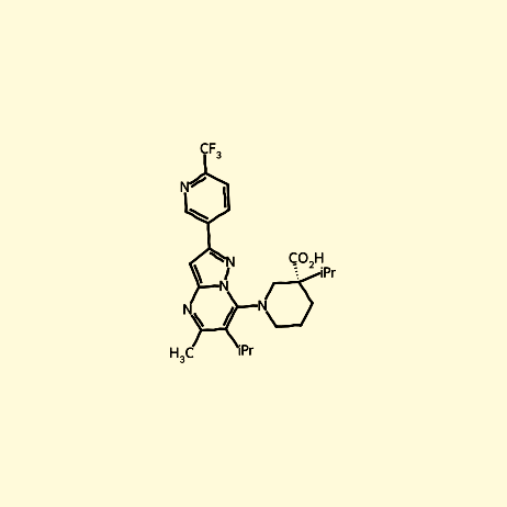 Cc1nc2cc(-c3ccc(C(F)(F)F)nc3)nn2c(N2CCC[C@](C(=O)O)(C(C)C)C2)c1C(C)C